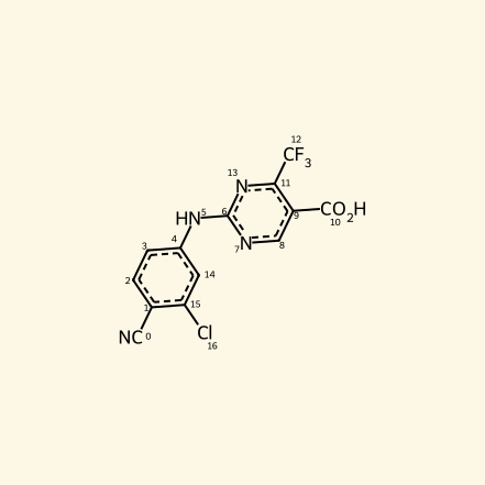 N#Cc1ccc(Nc2ncc(C(=O)O)c(C(F)(F)F)n2)cc1Cl